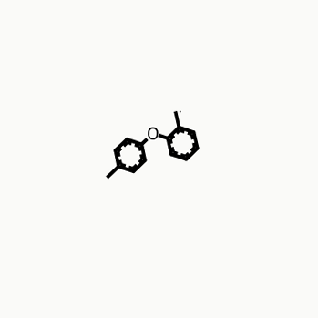 [CH2]c1ccccc1Oc1ccc(C)cc1